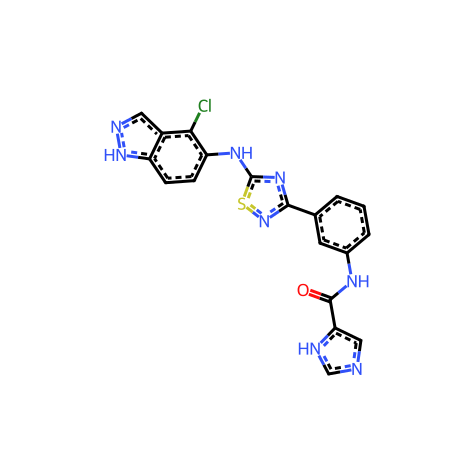 O=C(Nc1cccc(-c2nsc(Nc3ccc4[nH]ncc4c3Cl)n2)c1)c1cnc[nH]1